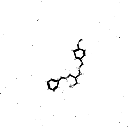 COc1ccc(C[N]NC(CO)CSCc2ccccc2)cc1